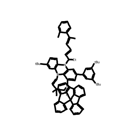 CCC(C=C/C=C(\C)c1ccccc1C)N1c2ccc(C(C)(C)C)cc2B2/C=C/C(C)(C)[C@@H](C)N(c3cccc4c3C3(c5ccccc5-c5ccccc53)c3ccccc3-4)c3cc(-c4cc(C(C)(C)C)cc(C(C)(C)C)c4)cc1c32